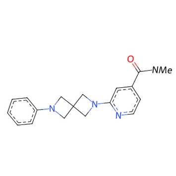 CNC(=O)c1ccnc(N2CC3(CN(c4ccccc4)C3)C2)c1